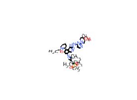 C=CC(=O)N1CCCC[C@H]1c1ccc(N2C[C@H](C(C)(C)S(C)(=O)=O)[C@H]2C)c2cnc(Nc3ccnc(N4CCC(C)(O)CC4)n3)cc12